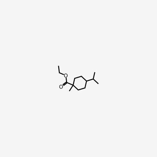 CCOC(=O)C1(C)CCC(C(C)C)CC1